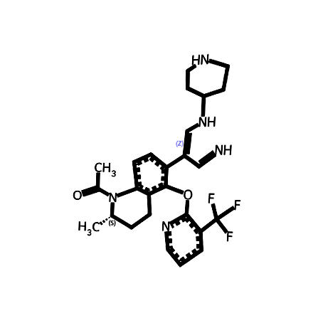 CC(=O)N1c2ccc(/C(C=N)=C/NC3CCNCC3)c(Oc3ncccc3C(F)(F)F)c2CC[C@@H]1C